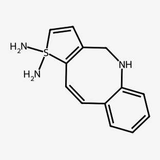 NS1(N)C=CC2=C1C=Cc1ccccc1NC2